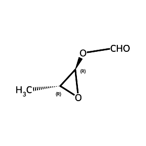 C[C@H]1O[C@@H]1OC=O